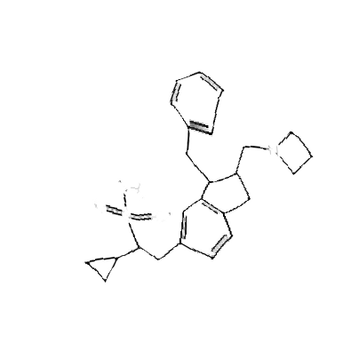 NS(=O)(=O)C(Cc1ccc2c(c1)C(Cc1ccccc1)C(CN1CCC1)C2)C1CC1